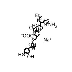 CCON=C(C(=O)N[C@@H]1C(=O)N2C(C(=O)[O-])=C(CSc3nnc(-c4ccc(O)c(O)c4)o3)CS[C@@H]12)c1csc(N)n1.[Na+]